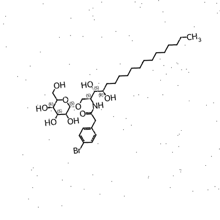 CCCCCCCCCCCCCC[C@@H](O)[C@@H](O)[C@H](CO[C@H]1OC(CO)[C@H](O)[C@H](O)C1O)NC(=O)Cc1ccc(Br)cc1